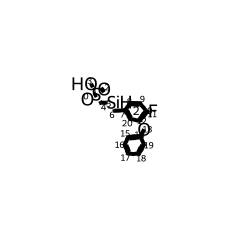 O=S(=O)(O)C[SiH2]Cc1ccc(F)c(Oc2ccccc2)c1